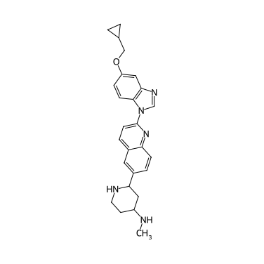 CNC1CCNC(c2ccc3nc(-n4cnc5cc(OCC6CC6)ccc54)ccc3c2)C1